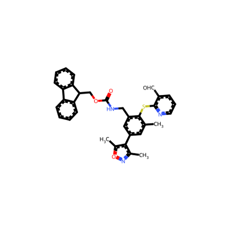 Cc1cc(-c2c(C)noc2C)cc(CNC(=O)OCC2c3ccccc3-c3ccccc32)c1Sc1ncccc1C=O